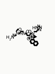 NN=CN1CCOC(CNC(=O)CC(C(=O)N(CCc2nnn[nH]2)C2CC2)S(=O)(=O)c2ccc3ccccc3c2)C1